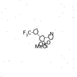 COC(=O)c1c(C)cc(-c2cccc(C(F)(F)F)c2)cc1-c1cccnc1